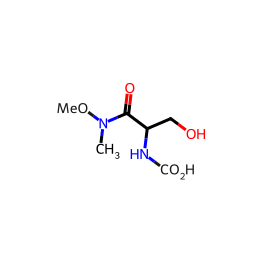 CON(C)C(=O)C(CO)NC(=O)O